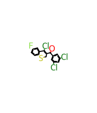 O=C(C1=C(Cl)c2cc(F)ccc2SC1)c1cc(Cl)cc(Cl)c1